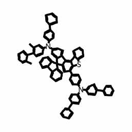 Cc1ccccc1-c1ccc(N(c2ccc(-c3ccccc3)cc2)c2ccc3c(c2)C2(c4ccccc4-c4ccccc42)c2cc(-c4ccc(N(c5ccc(-c6ccccc6)cc5)c5ccc(-c6ccccc6)cc5)cc4)c4sc5ccccc5c4c2-3)cc1C